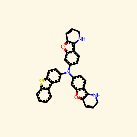 C1=Cc2oc3cc(N(c4ccc5c6c(oc5c4)C=CCN6)c4ccc5sc6ccccc6c5c4)ccc3c2NC1